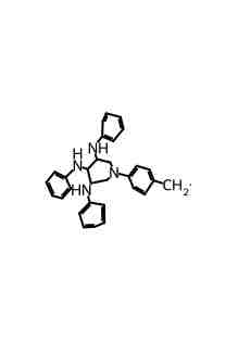 [CH2]c1ccc(N2CC(Nc3ccccc3)C(Nc3ccccc3)C(Nc3ccccc3)C2)cc1